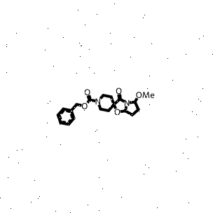 COC1CCC2OC3(CCN(C(=O)OCc4ccccc4)CC3)C(=O)N12